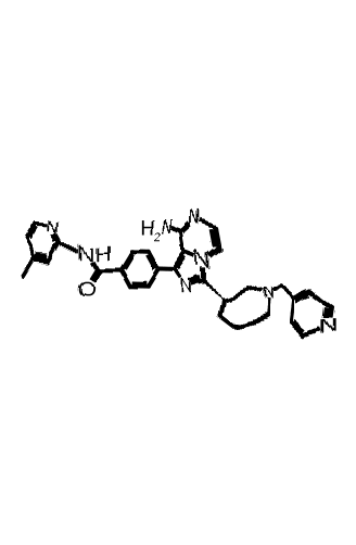 Cc1ccnc(NC(=O)c2ccc(-c3nc([C@@H]4CCCN(Cc5ccncc5)C4)n4ccnc(N)c34)cc2)c1